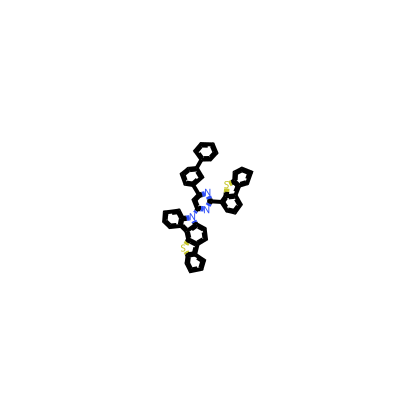 c1ccc(-c2cccc(-c3cc(-n4c5ccccc5c5c6sc7ccccc7c6ccc54)nc(-c4cccc5c4sc4ccccc45)n3)c2)cc1